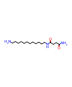 NCCCCCCCCCCCCNC(=O)CCC(N)=O